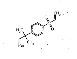 C=CS(=O)(=O)c1ccc(C(C)(C)CC(C)(C)C)cc1